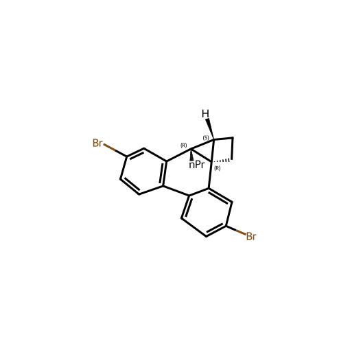 CCC[C@]12c3cc(Br)ccc3-c3ccc(Br)cc3[C@@]13CC[C@@H]23